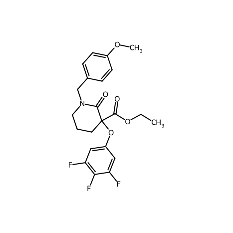 CCOC(=O)C1(Oc2cc(F)c(F)c(F)c2)CCCN(Cc2ccc(OC)cc2)C1=O